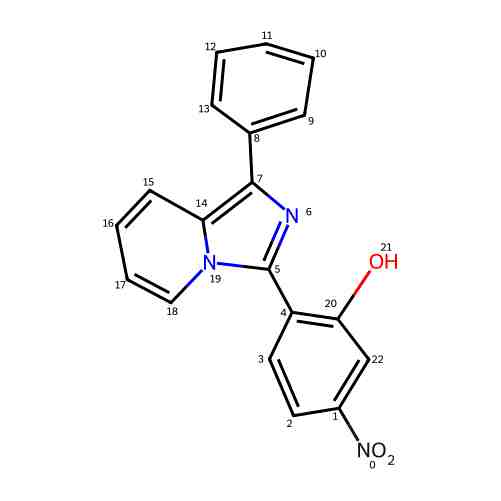 O=[N+]([O-])c1ccc(-c2nc(-c3ccccc3)c3ccccn23)c(O)c1